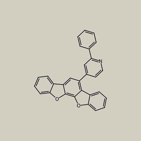 c1ccc(-c2cc(-c3cc4c5ccccc5oc4c4oc5ccccc5c34)ccn2)cc1